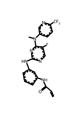 C=CC(=O)Nc1cccc(Nc2ncc(F)c(N(C)c3ccc(C(F)(F)F)nc3)n2)c1